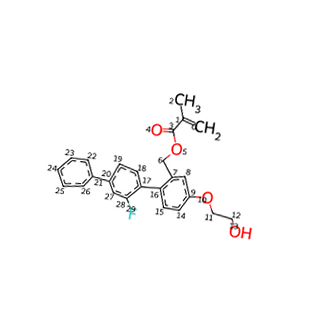 C=C(C)C(=O)OCc1cc(OCCO)ccc1-c1ccc(-c2ccccc2)cc1F